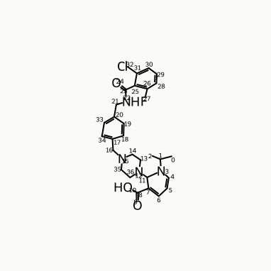 CC(C)N1C=CC=C(C(=O)O)C1N1CCN(Cc2ccc(CNC(=O)c3c(F)cccc3Cl)cc2)CC1